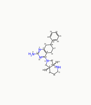 Nc1nc2c(c(N3C[C@H]4CCCN[C@H]4C3)n1)CCC(c1ccccc1)C2